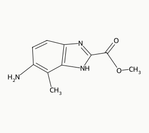 COC(=O)c1nc2ccc(N)c(C)c2[nH]1